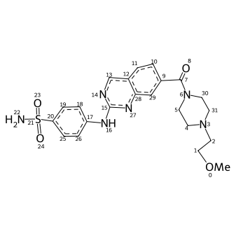 COCCN1CCN(C(=O)c2ccc3cnc(Nc4ccc(S(N)(=O)=O)cc4)nc3c2)CC1